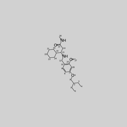 CCC(CC)COc1ccc(CNC(CC(=O)NC)C2CCCCC2)c(OC)c1